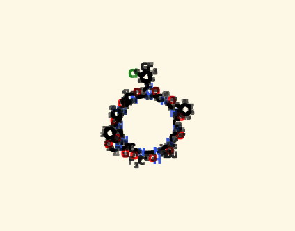 CC[C@H](C)[C@@H]1NC(=O)[C@H](CC(F)(F)F)N(C)C(=O)C[C@@H](C(=O)N2CCOCC2)N(C)C(=O)[C@H](C2CCCCC2)N(C)C(=O)C2(CCCC2)NC(=O)[C@@H]2CCCN2C(=O)[C@H](CCc2ccc(C(F)(F)F)c(Cl)c2)NC(=O)CN(C)C(=O)[C@H](CC2CCCCC2)N(C)C(=O)CN(C)C(=O)CN(C)C1=O